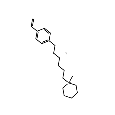 C=Cc1ccc(CCCCCC[N+]2(C)CCCCC2)cc1.[Br-]